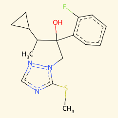 CSc1ncnn1CC(O)(c1ccccc1F)C(C)C1CC1